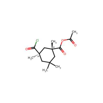 CC(=O)OC(=O)[C@]1(C)CC(C)(C)C[C@@](C)(C(=O)Cl)C1